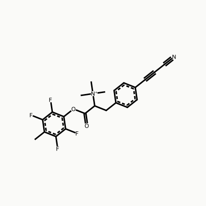 Cc1c(F)c(F)c(OC(=O)C(Cc2ccc(C#CC#N)cc2)[N+](C)(C)C)c(F)c1F